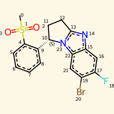 CS(=O)(=O)c1ccccc1[C@@H]1CCc2nc3cc(F)c(Br)cc3n21